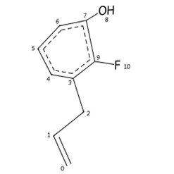 C=CCc1cccc(O)c1F